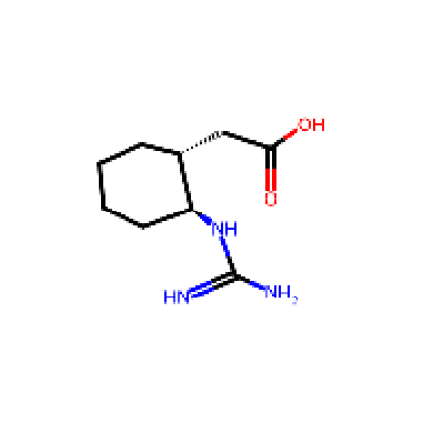 N=C(N)N[C@H]1CCCC[C@@H]1CC(=O)O